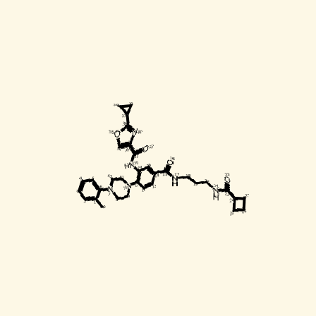 Cc1ccccc1N1CCN(c2ccc(C(=O)NCCCNC(=O)C3CCC3)cc2NC(=O)c2coc(C3CC3)n2)CC1